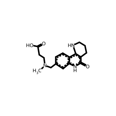 CN(CCC(=O)O)Cc1ccc2c3c(c(=O)[nH]c2c1)CCCN3